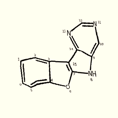 c1ccc2c(c1)oc1[nH]c3cncnc3c12